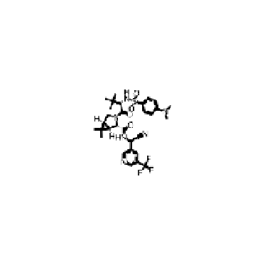 CN(C)c1ccc(S(=O)(=O)N[C@H](C(=O)N2C[C@H]3[C@@H]([C@H]2C(=O)NC(C#N)c2cncc(C(F)(F)F)c2)C3(C)C)C(C)(C)C)cc1